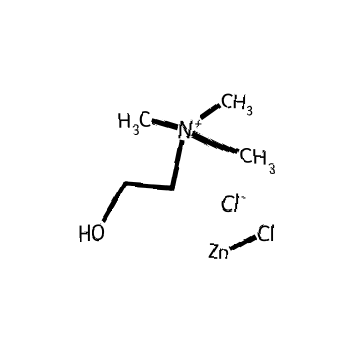 C[N+](C)(C)CCO.[Cl-].[Cl][Zn]